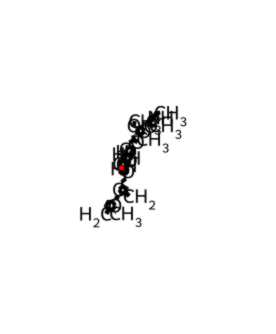 C=C1C[C@H](CC[C@@]23C[C@H]4OC5[C@@H](O[C@H]6CC[C@H](CC(=O)C[C@@H]7[C@@H](OC)[C@@H](C[C@@H](CNCC)OC)O[C@H]7C)O[C@@H]6[C@@H]5O2)[C@H]4O3)O[C@H]1CC[C@H]1CCC(=C)[C@@H](C)O1